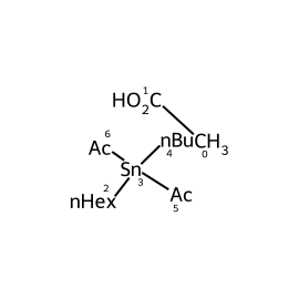 CC(=O)O.CCCCC[CH2][Sn]([CH2]CCC)([C](C)=O)[C](C)=O